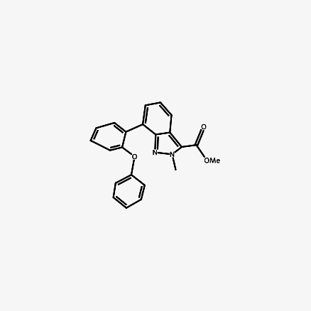 COC(=O)c1c2cccc(-c3ccccc3Oc3ccccc3)c2nn1C